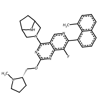 Cc1cccc2cccc(-c3ncc4c(N5CC6CCC(C5)N6)nc(OC[C@@H]5CCCN5C)nc4c3F)c12